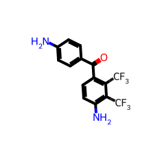 Nc1ccc(C(=O)c2ccc(N)c(C(F)(F)F)c2C(F)(F)F)cc1